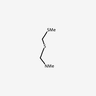 CNCSCSC